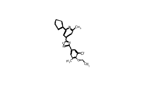 CCOc1c(C)cc(-c2noc(-c3cc(C)nc(C4CCCC4)c3)n2)cc1Cl